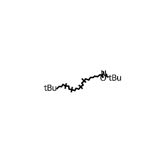 CN(CCC(C)(C)C)C(=O)CCCCCCCC(C)(C)CCC(C)(C)CCCC(C)(C)CCC(C)(C)CCCCC(C)(C)C